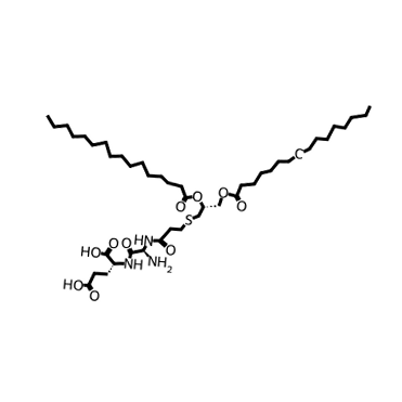 CCCCCCCCCCCCCCCC(=O)OC[C@H](CSCCC(=O)N[C@@H](N)C(=O)N[C@H](CCC(=O)O)C(=O)O)OC(=O)CCCCCCCCCCCCCCC